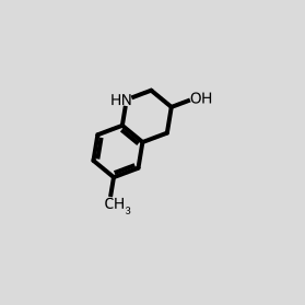 Cc1ccc2c(c1)CC(O)CN2